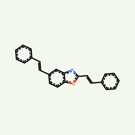 C(=Cc1ccc2oc(C=Cc3ccccc3)nc2c1)c1ccccc1